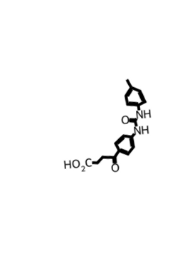 Cc1ccc(NC(=O)Nc2ccc(C(=O)CCC(=O)O)cc2)cc1